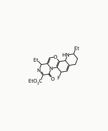 CCOC(=O)C1=NC(CC)C2=COC3=C(C(F)C=C4CCC(CC)NC43)N2C1=O